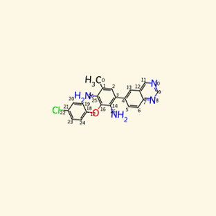 Cc1cc(-c2ccc3ncncc3c2)c(N)c(Oc2ccc(Cl)cc2)c1N